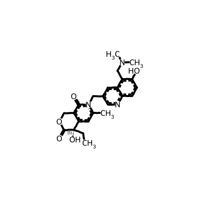 CC[C@@]1(O)C(=O)OCc2c1cc(C)n(Cc1cnc3ccc(O)c(CN(C)C)c3c1)c2=O